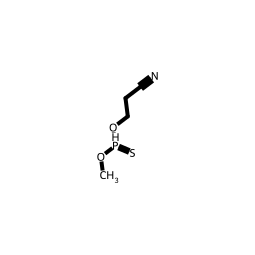 CO[PH](=S)OCCC#N